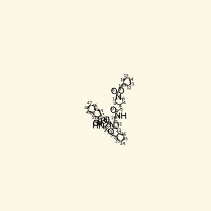 O=C(CC1CCN(C(=O)OCc2ccccc2)CC1)NCC1CCCN1C(=O)C(COCc1ccccc1)NS(=O)(=O)c1ccc2ccccc2c1